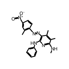 CNc1nc(Nc2ccccc2)c(/N=N/c2ccc([N+](=O)[O-])cc2C)c(C)c1C